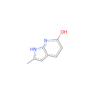 Cc1cc2ccc(O)nc2[nH]1